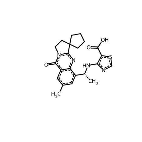 Cc1cc([C@@H](C)Nc2ncsc2C(=O)O)c2nc3n(c(=O)c2c1)CCC31CCCC1